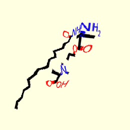 CC(C(=O)O)N(C)C.CCCCCCCCCCCCCCCC(N)=O.CCCOC(=O)C(C)(C)N